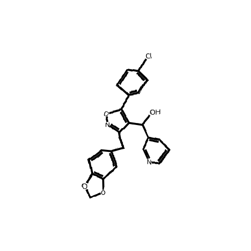 OC(c1cccnc1)c1c(Cc2ccc3c(c2)OCO3)noc1-c1ccc(Cl)cc1